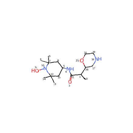 CC(C(=O)NC1CC(C)(C)N(O)C(C)(C)C1)C1CNCCO1